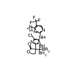 BC(B)(B)C1(c2nc(Cl)c(Nc3ncc(C(F)(F)F)c(NC)n3)s2)CCOC1=O